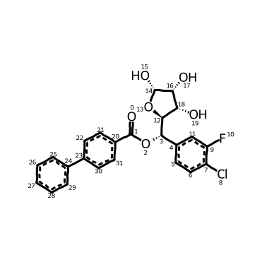 O=C(O[C@@H](c1ccc(Cl)c(F)c1)[C@H]1O[C@H](O)[C@H](O)[C@@H]1O)c1ccc(-c2ccccc2)cc1